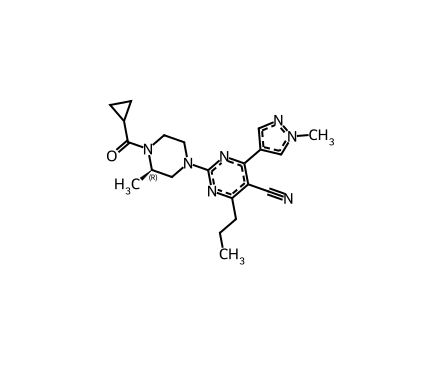 CCCc1nc(N2CCN(C(=O)C3CC3)[C@H](C)C2)nc(-c2cnn(C)c2)c1C#N